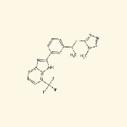 CC(Cc1nncn1C)c1cccc(-c2nc3cc[c]c(C(F)(F)F)c3[nH]2)c1